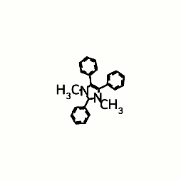 CN1C(c2ccccc2)=C(c2ccccc2)N(C)C1c1ccccc1